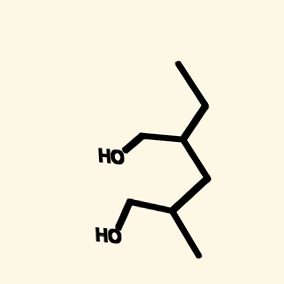 CCC(CO)CC(C)CO